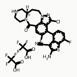 N#Cc1c(N)sc2c(F)ccc(-c3c(F)cc4c5c3c(Cl)nn5CC[C@H]3CNCCN3C4=O)c12.O=C(O)C(F)(F)F.O=C(O)C(F)(F)F